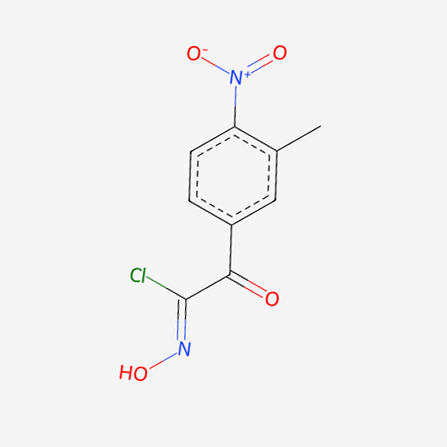 Cc1cc(C(=O)C(Cl)=NO)ccc1[N+](=O)[O-]